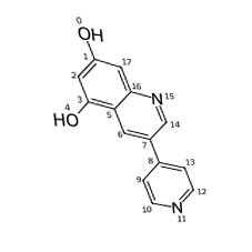 Oc1cc(O)c2cc(-c3ccncc3)cnc2c1